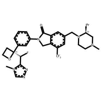 CC(C)[C@H]1CN(C)CCN1Cc1cc2c(c(C(F)(F)F)c1)CN(c1cccc([C@]3(C(F)c4nncn4C)CCO3)c1)C2=O